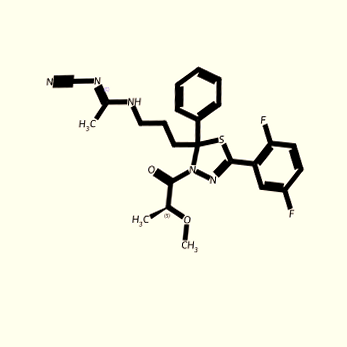 CO[C@@H](C)C(=O)N1N=C(c2cc(F)ccc2F)SC1(CCCN/C(C)=N/C#N)c1ccccc1